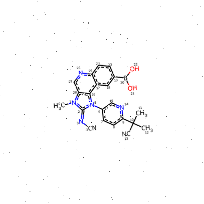 Cn1/c(=N/C#N)n(-c2ccc(C(C)(C)C#N)nc2)c2c3cc(B(O)O)ccc3ncc21